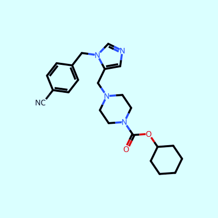 N#Cc1ccc(Cn2cncc2CN2CCN(C(=O)OC3CCCCC3)CC2)cc1